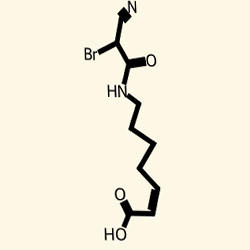 N#CC(Br)C(=O)NCCCC/C=C\C(=O)O